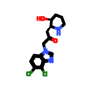 O=C(C[C@H]1NCCC[C@@H]1O)Cn1cnc2c(Cl)c(Cl)ccc21